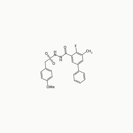 COc1ccc(CS(=O)(=O)NNC(=O)c2cc(-c3ccccc3)cc(C)c2F)cc1